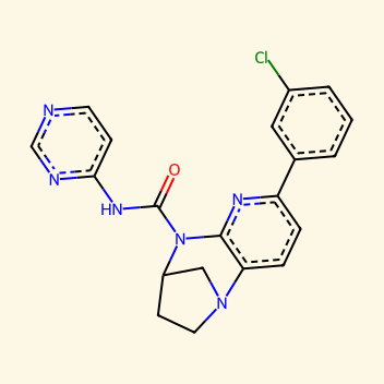 O=C(Nc1ccncn1)N1c2nc(-c3cccc(Cl)c3)ccc2N2CCC1C2